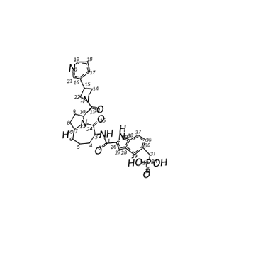 O=C(N[C@H]1CCC[C@H]2CC[C@@H](C(=O)N3CC(c4cccnc4)C3)N2C1=O)c1cc2cc(CP(=O)(O)O)ccc2[nH]1